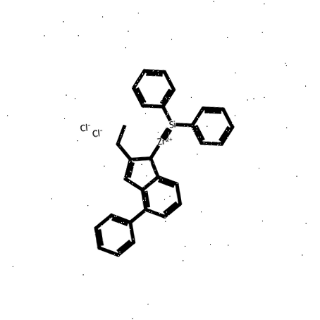 CCC1=Cc2c(-c3ccccc3)cccc2[CH]1[Zr+2]=[Si](c1ccccc1)c1ccccc1.[Cl-].[Cl-]